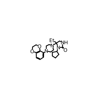 CCC1(N2CCN(c3cccc4c3OCCO4)CC2)CNC(=O)N1C1CCCC1